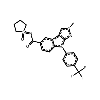 Cn1cc2c3cc(C(=O)N=S4(=O)CCCC4)ccc3n(-c3ccc(C(F)(F)F)cc3)c2n1